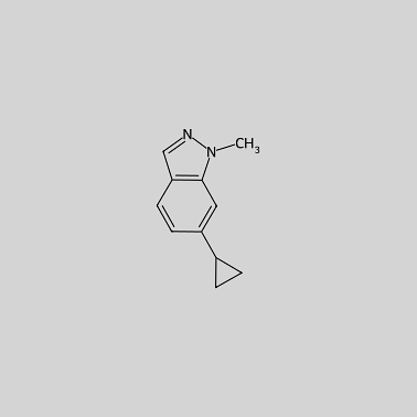 Cn1ncc2ccc(C3CC3)cc21